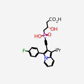 CC(C)c1c(C#CP(=O)(O)C[C@@H](O)CC(=O)O)c(-c2ccc(F)cc2)n2ccccc12